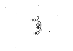 C[C@@]1(O)CC[C@H]2[C@H](CC[C@@H]3[C@@H]2CC[C@]2(C)[C@@H](C(C#N)CO)CC[C@@H]32)C1